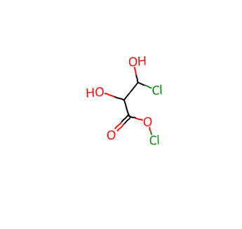 O=C(OCl)C(O)C(O)Cl